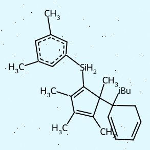 CCC(C)C1(C2(C)C(C)=C(C)C(C)=C2[SiH2]c2cc(C)cc(C)c2)C=CC=CC1